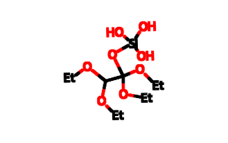 CCOC(OCC)C(OCC)(OCC)O[Si](O)(O)O